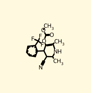 COC(=O)OC1=C(C)NC(C)C(C#N)C1c1ccccc1C(F)(F)F